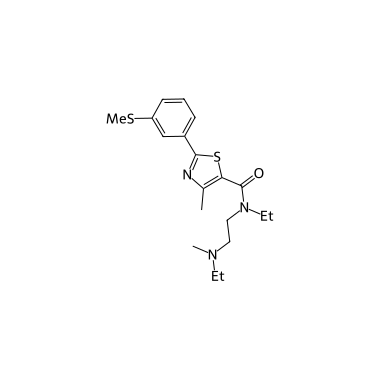 CCN(C)CCN(CC)C(=O)c1sc(-c2cccc(SC)c2)nc1C